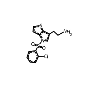 NCCc1cn(S(=O)(=O)c2ccccc2Cl)c2ccsc12